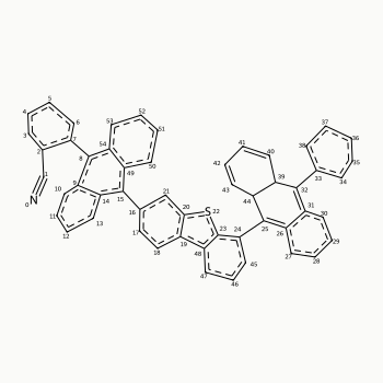 N#Cc1ccccc1-c1c2ccccc2c(-c2ccc3c(c2)sc2c(C4=c5ccccc5=C(c5ccccc5)C5C=CC=CC45)cccc23)c2ccccc12